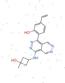 C=Cc1ccc(-c2nnc(NC3CC(C)(O)C3)c3cnncc23)c(O)c1